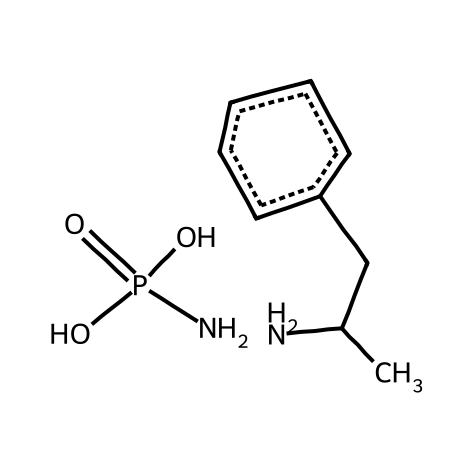 CC(N)Cc1ccccc1.NP(=O)(O)O